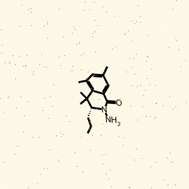 CCC[C@H]1N(N)C(=O)c2cc(C)cc(C)c2C1(C)C